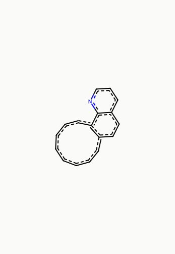 c1ccccc2c(ccc1)ccc1cccnc12